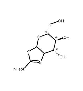 CCCCCCCC1=NC2C(O[C@H](CO)[C@@H](O)[C@@H]2O)S1